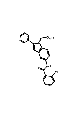 CCOC(=O)Cn1c(-c2ccccc2)cc2cc(NC(=O)c3ccccc3Cl)ccc21